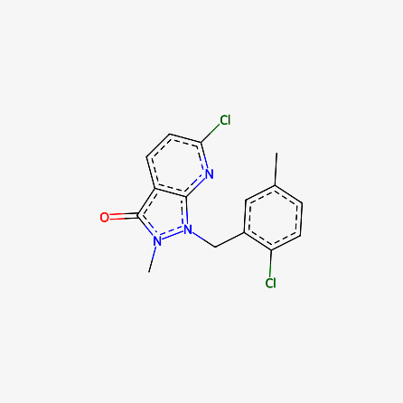 Cc1ccc(Cl)c(Cn2c3nc(Cl)ccc3c(=O)n2C)c1